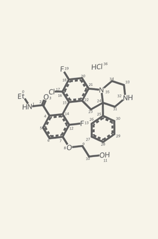 CCNC(=O)c1ccc(OCCO)c(F)c1-c1c(Cl)c(F)cc2c1CC1(c3ccccc3)CNCCN21.Cl